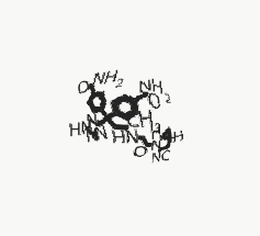 C[C@@H](CC(c1ccc(C(N)=O)cc1)(c1ccc(C(N)=O)cc1)c1nn[nH]n1)NCC(=O)N1[C@H](C#N)C[C@@H]2C[C@@H]21